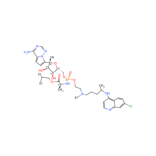 CCC(CC)COC(=O)[C@H](C)N[P@](=O)(OCCN(CC)CCCC(C)Nc1ccnc2cc(Cl)ccc12)OC[C@H]1O[C@@](C#N)(c2ccc3c(N)ncnn23)[C@H](O)[C@@H]1O